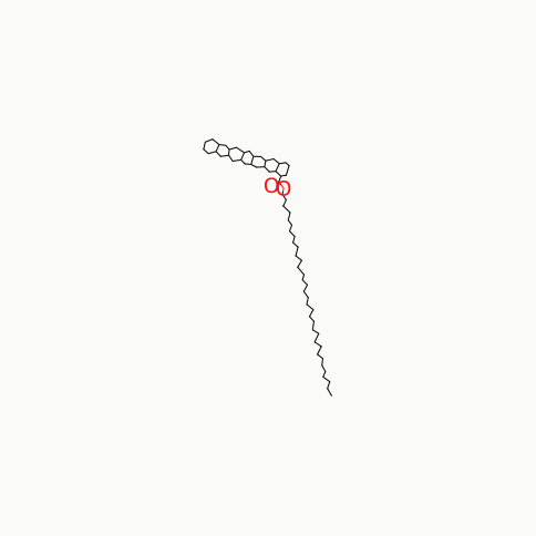 CCCCCCCCCCCCCCCCCCCCCCCCCCCCCCCCCCOC(=O)C1CCCC2CC3CC4CC5CC6CC7CCCCC7CC6CC5CC4CC3CC21